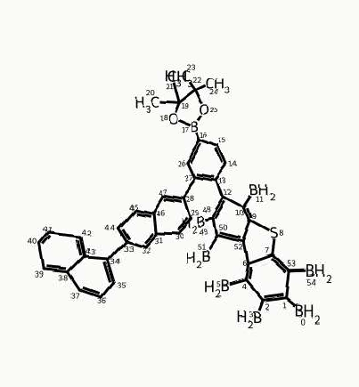 Bc1c(B)c(B)c2c(sc3c(B)c(-c4ccc(B5OC(C)(C)C(C)(C)O5)cc4-c4ccc5cc(-c6cccc7ccccc67)ccc5c4)c(B)c(B)c32)c1B